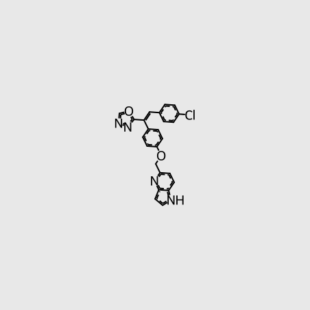 Clc1ccc(/C=C(\c2ccc(OCc3ccc4[nH]ccc4n3)cc2)c2nnco2)cc1